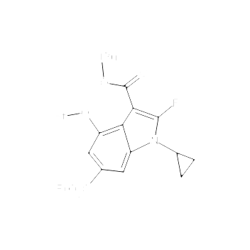 CCOC(=O)c1cc(OCC)c2c(C(=O)OC(C)(C)C)c(CC)n(C3CC3)c2c1